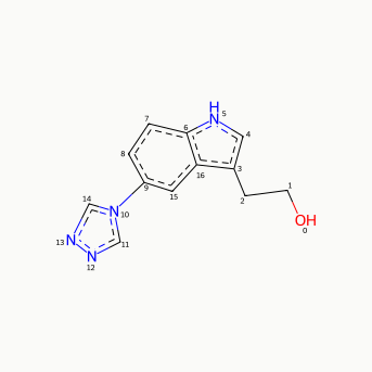 OCCc1c[nH]c2ccc(-n3cnnc3)cc12